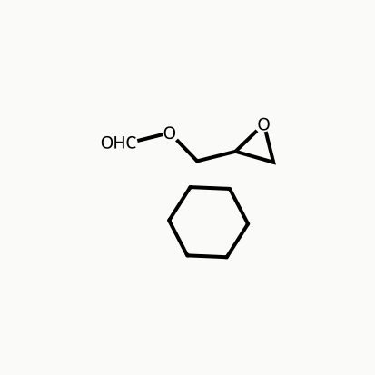 C1CCCCC1.O=COCC1CO1